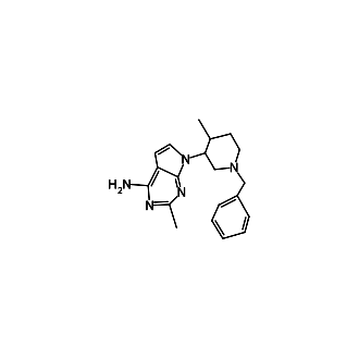 Cc1nc(N)c2ccn(C3CN(Cc4ccccc4)CCC3C)c2n1